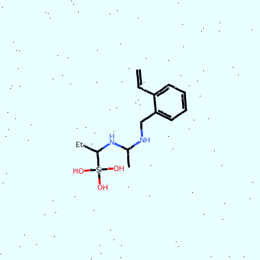 C=Cc1ccccc1CNC(C)NC(CC)[Si](O)(O)O